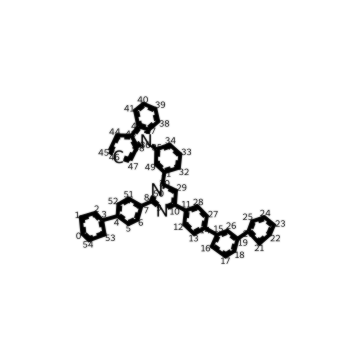 c1ccc(-c2ccc(-c3nc(-c4ccc(-c5cccc(-c6ccccc6)c5)cc4)cc(-c4cccc(-n5c6ccccc6c6ccccc65)c4)n3)cc2)cc1